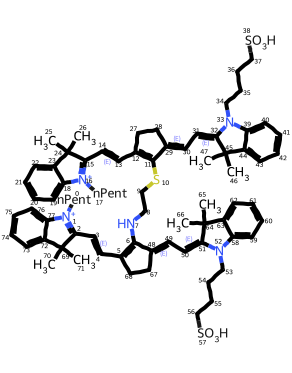 CCCCC[N+]1=C(/C=C/C2=C(NCCSC3=C(/C=C/C4=[N+](CCCCC)c5ccccc5C4(C)C)CC/C3=C\C=C3\N(CCCCS(=O)(=O)O)c4ccccc4C3(C)C)C(=C/C=C3/N(CCCCS(=O)(=O)O)c4ccccc4C3(C)C)/CC2)C(C)(C)c2ccccc21